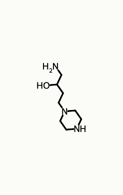 NCC(O)CCN1CCNCC1